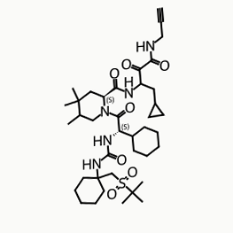 C#CCNC(=O)C(=O)C(CC1CC1)NC(=O)[C@@H]1CC(C)(C)C(C)CN1C(=O)[C@@H](NC(=O)NC1(CS(=O)(=O)C(C)(C)C)CCCCC1)C1CCCCC1